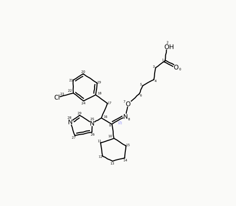 O=C(O)CCCCO/N=C(/C1CCCCC1)C(Cc1cccc(Cl)c1)n1ccnc1